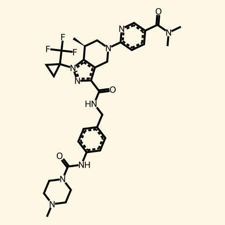 C[C@H]1CN(c2ccc(C(=O)N(C)C)cn2)Cc2c(C(=O)NCc3ccc(NC(=O)N4CCN(C)CC4)cc3)nn(C3(C(F)(F)F)CC3)c21